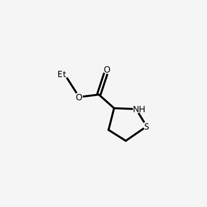 CCOC(=O)C1CCSN1